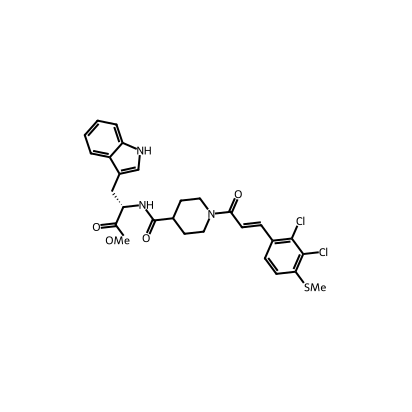 COC(=O)[C@H](Cc1c[nH]c2ccccc12)NC(=O)C1CCN(C(=O)/C=C/c2ccc(SC)c(Cl)c2Cl)CC1